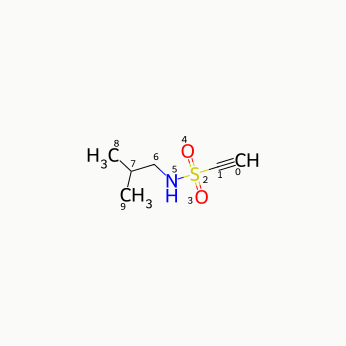 C#CS(=O)(=O)NCC(C)C